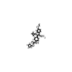 CCOc1ccc2c(N)c(-c3ccc(NC(=O)OC4CCCC4)cc3)n(C3CCC3)c2c1